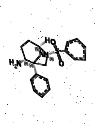 N[C@@H]1CC[C@@H]2N[C@@]1(c1ccccc1)C[C@H]2S(=O)(=O)c1ccccc1